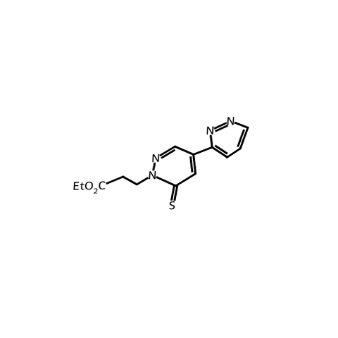 CCOC(=O)CCn1ncc(-c2cccnn2)cc1=S